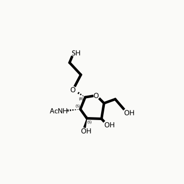 CC(=O)N[C@@H]1[C@H](OCCS)OC(CO)C(O)[C@H]1O